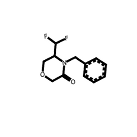 O=C1COCC(C(F)F)N1Cc1ccccc1